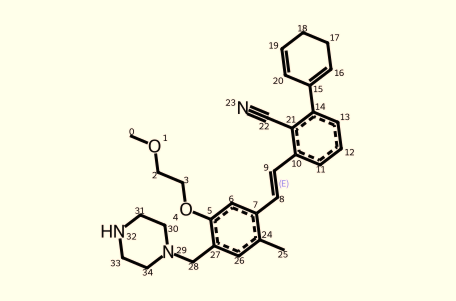 COCCOc1cc(/C=C/c2cccc(C3=CCCC=C3)c2C#N)c(C)cc1CN1CCNCC1